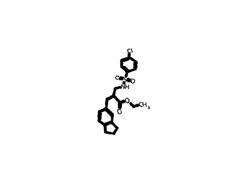 CCOC(=O)C(CNS(=O)(=O)c1ccc(Cl)cc1)Cc1ccc2c(c1)CCC2